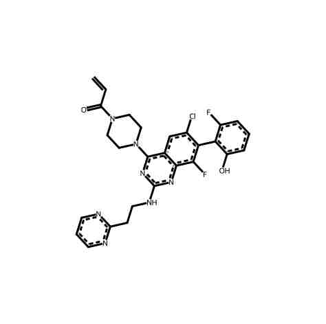 C=CC(=O)N1CCN(c2nc(NCCc3ncccn3)nc3c(F)c(-c4c(O)cccc4F)c(Cl)cc23)CC1